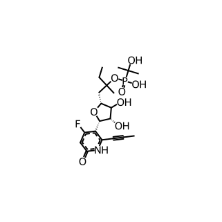 CC#Cc1[nH]c(=O)cc(F)c1[C@@H]1O[C@H](CC(C)(CC)OP(=O)(O)C(C)(C)O)C(O)[C@@H]1O